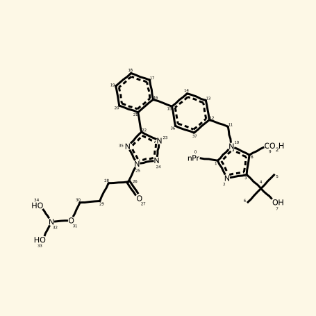 CCCc1nc(C(C)(C)O)c(C(=O)O)n1Cc1ccc(-c2ccccc2-c2nnn(C(=O)CCCON(O)O)n2)cc1